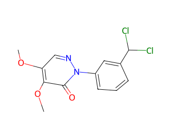 COc1cnn(-c2cccc(C(Cl)Cl)c2)c(=O)c1OC